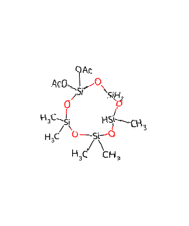 CC(=O)O[Si]1(OC(C)=O)O[SiH2]O[SiH](C)O[Si](C)(C)O[Si](C)(C)O1